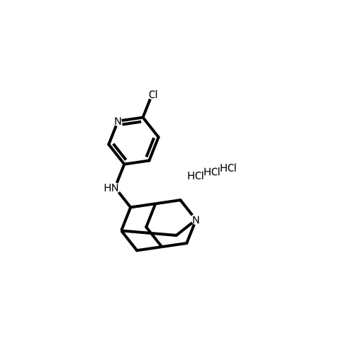 Cl.Cl.Cl.Clc1ccc(NC2C3CC4CC2CN(C4)C3)cn1